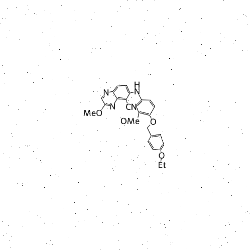 CCOc1ccc(COc2ccc(Nc3ccc4ncc(OC)nc4c3C#N)cc2OC)cc1